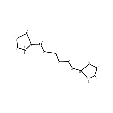 C(CCOC1NCSS1)CCC1CCSS1